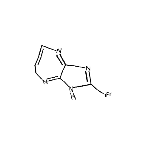 CC(C)c1nc2nccnc2[nH]1